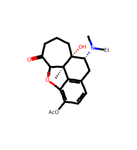 CCN(C)[C@@H]1Cc2ccc(OC(C)=O)c3c2[C@@]2(C)[C@@H](O3)C(=O)CCC[C@@]12O